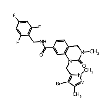 Cc1nn(C)c(CN2C(=O)N(C)Cc3ccc(C(=O)NCc4c(F)cc(F)cc4F)cc32)c1Br